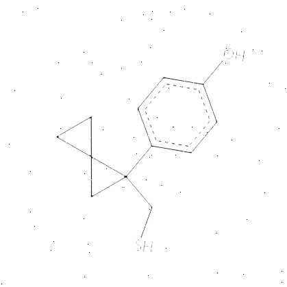 Oc1ccc(C2(CS)CC23CC3)cc1